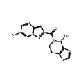 CC1c2ncoc2CCN1C(=O)c1cc2ncc(Br)cn2n1